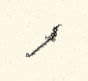 CCCCN1CCN(c2ccc(C(=O)NCCCCCCCCCCCCCCCCCBr)cn2)CC1